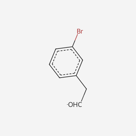 O=[C]Cc1cccc(Br)c1